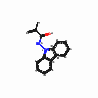 C=C(C)C(=O)Nn1c2ccccc2c2ccccc21